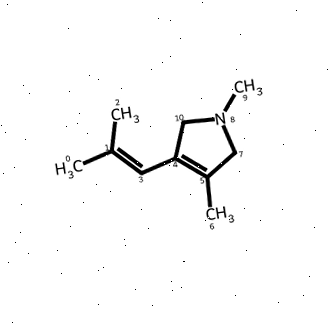 CC(C)=CC1=C(C)CN(C)C1